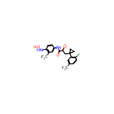 O=C(CC1(c2cc(C(F)(F)F)ccc2F)CC1)C(=O)Nc1ccc(NO)c(C(F)(F)F)c1